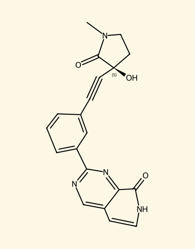 CN1CC[C@](O)(C#Cc2cccc(-c3ncc4cc[nH]c(=O)c4n3)c2)C1=O